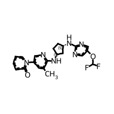 Cc1cc(-n2ccccc2=O)cnc1N[C@H]1CC[C@H](Nc2ncc(OC(F)F)cn2)C1